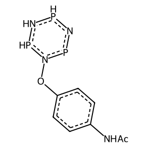 CC(=O)Nc1ccc(On2pn[pH][nH][pH]2)cc1